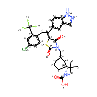 CC(C)(C)[C@@]1(NC(=O)O)CCC[C@@H](CN2C(=O)SC(=C(Cc3ccc(Cl)cc3C(F)(F)F)c3ccc4[nH]ncc4c3)C2=O)C1